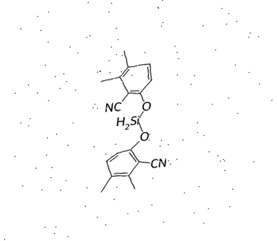 Cc1ccc(O[SiH2]Oc2ccc(C)c(C)c2C#N)c(C#N)c1C